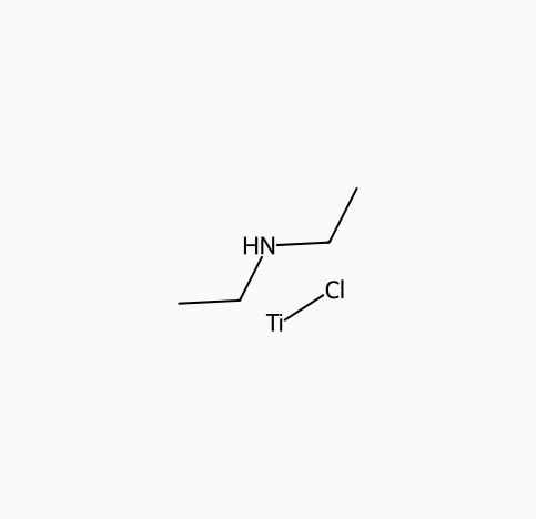 CCNCC.[Cl][Ti]